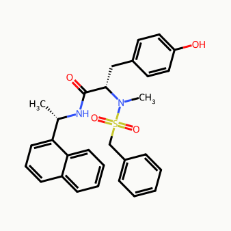 C[C@H](NC(=O)[C@H](Cc1ccc(O)cc1)N(C)S(=O)(=O)Cc1ccccc1)c1cccc2ccccc12